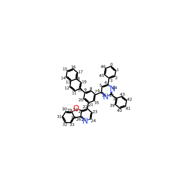 c1ccc(-c2cc(-c3cc(-c4ccc5ccccc5c4)cc(-c4ccnc5c4oc4ccccc45)c3)nc(-c3ccccc3)n2)cc1